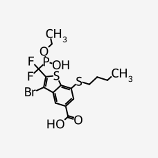 CCCCSc1cc(C(=O)O)cc2c(Br)c(C(F)(F)P(O)OCC)sc12